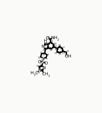 Cc1nc(S(=O)(=O)N2CCC(c3n[nH]c4c(C(N)=O)cc(-c5ccc(CO)cc5)cc34)CC2)cn1C